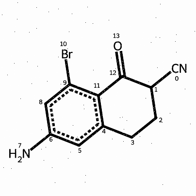 N#CC1CCc2cc(N)cc(Br)c2C1=O